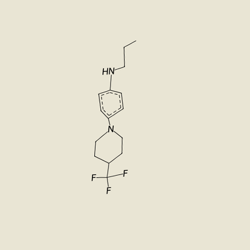 CCCNc1ccc(N2CCC(C(F)(F)F)CC2)cc1